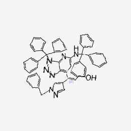 OC/C=C(/c1cnn(Cc2ccccc2)c1)c1cc(NC(c2ccccc2)(c2ccccc2)c2ccccc2)nc2c1nnn2C(c1ccccc1)(c1ccccc1)c1ccccc1